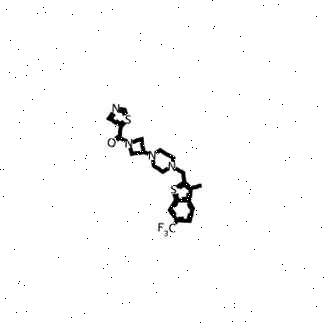 Cc1c(CN2CCN(C3CN(C(=O)c4cncs4)C3)CC2)sc2cc(C(F)(F)F)ccc12